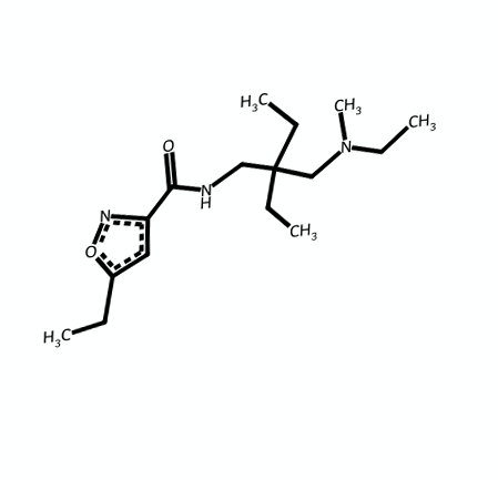 CCc1cc(C(=O)NCC(CC)(CC)CN(C)CC)no1